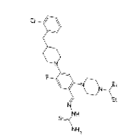 CCC(CC)N1CCN(c2cc(N3CCC(Cc4ccccc4Cl)CC3)c(F)cc2/C=N/NC(N)=S)CC1